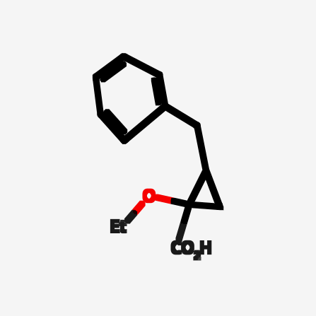 CCOC1(C(=O)O)CC1Cc1ccccc1